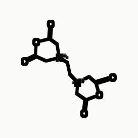 O=C1C[N+](CC[N+]2CC(=O)OC(=O)C2)CC(=O)O1